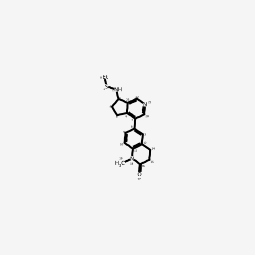 CCSNC1CCc2c(-c3ccc4c(c3)CCC(=O)N4C)cncc21